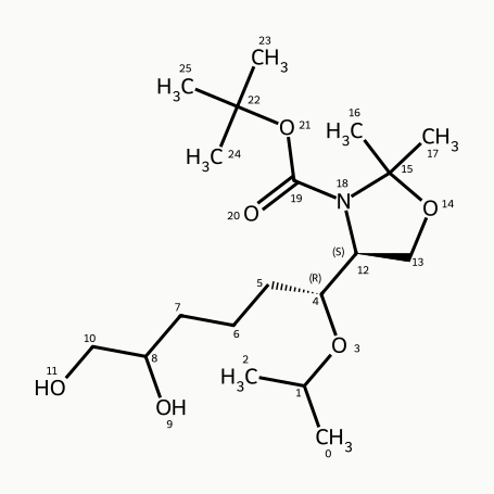 CC(C)O[C@H](CCCC(O)CO)[C@@H]1COC(C)(C)N1C(=O)OC(C)(C)C